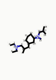 CCN(CC)CC(C)CC1CCCC(N(C)CC(C)C)C1